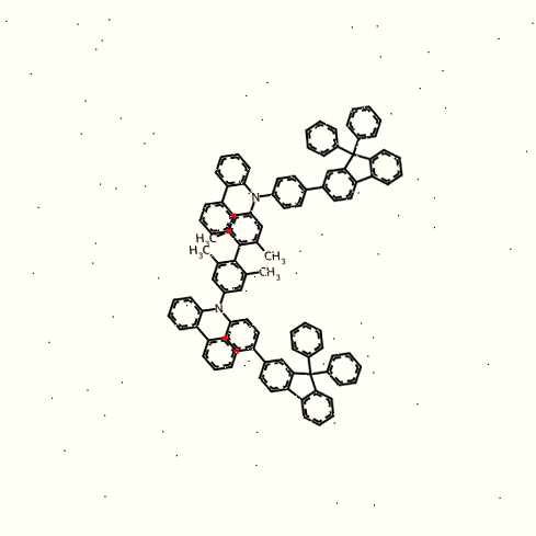 Cc1cc(N(c2ccc(-c3ccc4c(c3)C(c3ccccc3)(c3ccccc3)c3ccccc3-4)cc2)c2ccccc2-c2ccccc2)cc(C)c1-c1c(C)cc(N(c2ccc(-c3ccc4c(c3)C(c3ccccc3)(c3ccccc3)c3ccccc3-4)cc2)c2ccccc2-c2ccccc2)cc1C